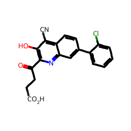 N#Cc1c(O)c(C(=O)CCC(=O)O)nc2cc(-c3ccccc3Cl)ccc12